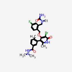 CCN(Cc1cc(F)ccc1COc1c(-c2cc(C(=O)NN(C)C)ccc2C)c(C)[nH]c(=O)c1Br)C(N)=O